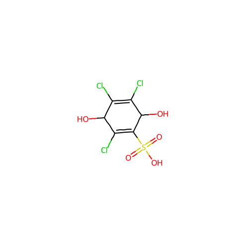 O=S(=O)(O)C1=C(Cl)C(O)C(Cl)=C(Cl)C1O